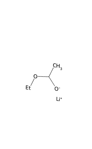 CCOC(C)[O-].[Li+]